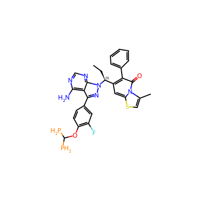 CC[C@@H](c1cc2scc(C)n2c(=O)c1-c1ccccc1)n1nc(-c2ccc(OC(P)P)c(F)c2)c2c(N)ncnc21